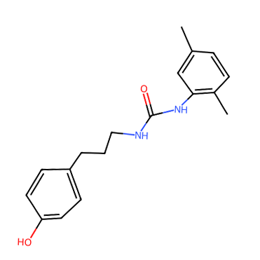 Cc1ccc(C)c(NC(=O)NCCCc2ccc(O)cc2)c1